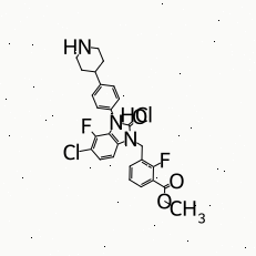 COC(=O)c1cccc(Cn2c(=O)n(-c3ccc(C4CCNCC4)cc3)c3c(F)c(Cl)ccc32)c1F.Cl